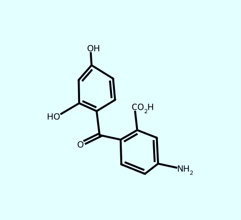 Nc1ccc(C(=O)c2ccc(O)cc2O)c(C(=O)O)c1